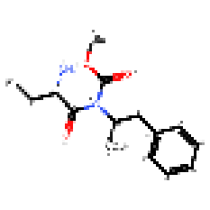 CC(C)C[C@H](N)C(=O)N(C(=O)OC(C)(C)C)[C@@H](Cc1ccccc1)C(=O)O